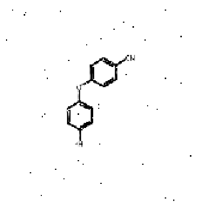 [2H]c1ccc(Oc2ccc(C#N)cc2)cc1